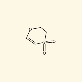 O=S1(=O)C=CO[CH]C1